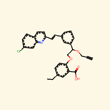 C#CCOC(COc1ccc(CC)cc1C(=O)O)c1cccc(/C=C/c2ccc3ccc(Cl)cc3n2)c1